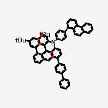 CC(C)(C)c1cc(-c2cccc3cccc(-c4ccccc4N(c4ccc(-c5ccc(-c6ccccc6)cc5)cc4)c4ccc(-c5cccc6c5ccc5ccccc56)cc4)c23)cc(C(C)(C)C)c1